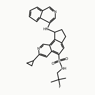 CC(C)(F)CNS(=O)(=O)c1cc2c(c3cnc(C4CC4)cc13)C(Nc1cncc3ccccc13)CC2